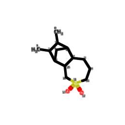 CC1C(C)C2CC1C1CCCS(=O)(=O)CC21